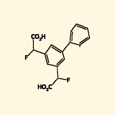 O=C(O)C(F)c1cc(-c2[c]cccc2)cc(C(F)C(=O)O)c1